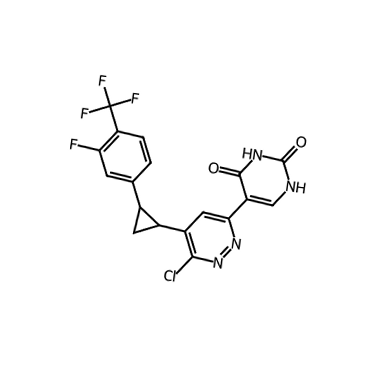 O=c1[nH]cc(-c2cc(C3CC3c3ccc(C(F)(F)F)c(F)c3)c(Cl)nn2)c(=O)[nH]1